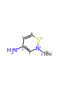 CC(C)(C)N1C=C(N)C=CS1